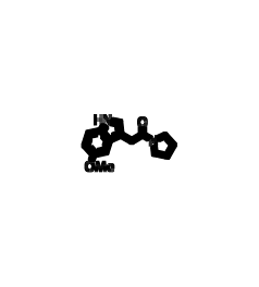 COc1ccc2[nH]cc(CC(=O)N3CCCC3)c2c1